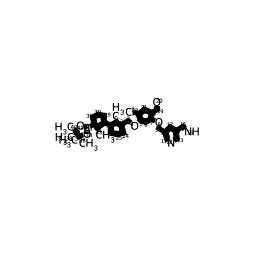 Cc1c(COc2cc(OCc3cncc(C=N)c3)c(C=O)cc2Cl)cccc1-c1cccc(B2OC(C)(C)C(C)(C)O2)c1C